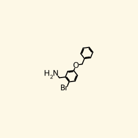 NCc1cc(OCc2ccccc2)ccc1Br